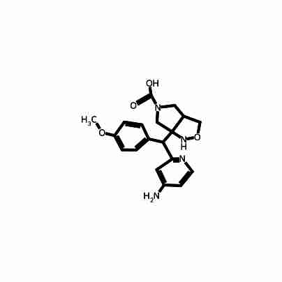 COc1ccc(C(c2cc(N)ccn2)C23CN(C(=O)O)CC2CON3)cc1